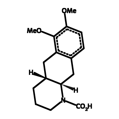 COc1ccc2c(c1OC)C[C@H]1CCCN(C(=O)O)[C@@H]1C2